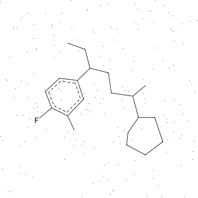 CCC(CCC(C)C1CCCCC1)c1ccc(F)c(C)c1